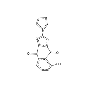 O=C1c2cccc(O)c2C(=O)c2cc(-n3cccc3)oc21